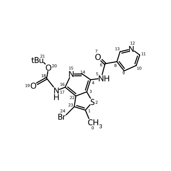 Cc1sc2c(NC(=O)c3cccnc3)cnc(NC(=O)OC(C)(C)C)c2c1Br